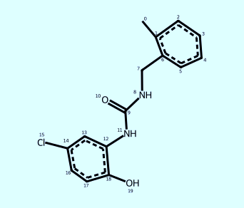 Cc1ccccc1CNC(=O)Nc1cc(Cl)ccc1O